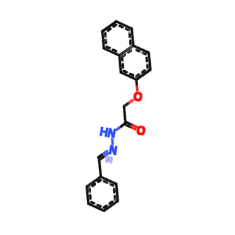 O=C(COc1ccc2ccccc2c1)N/N=C/c1ccccc1